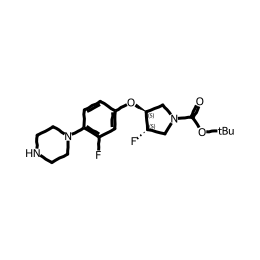 CC(C)(C)OC(=O)N1C[C@H](Oc2ccc(N3CCNCC3)c(F)c2)[C@@H](F)C1